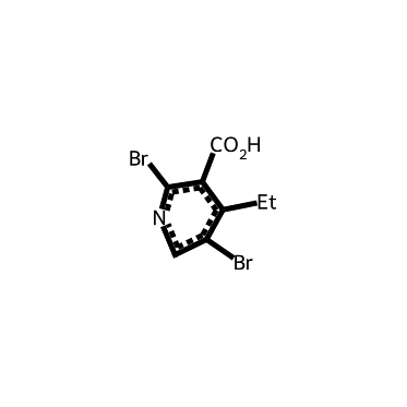 CCc1c(Br)cnc(Br)c1C(=O)O